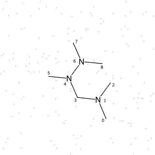 CN(C)CN(C)N(C)C